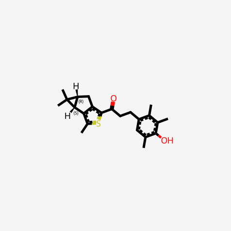 Cc1cc(CCC(=O)c2sc(C)c3c2C[C@@H]2[C@H]3C2(C)C)c(C)c(C)c1O